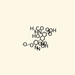 CC(=O)Nc1cc(S(=O)(=O)O)cc2cc(S(=O)(=O)O)c(-c3ccc(OCC[O])c(N=[N])c3)c(O)c12